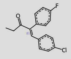 CCC(=O)/C(=C/c1ccc(Cl)cc1)c1ccc(F)cc1